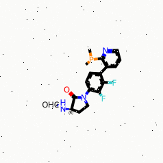 CP(C)c1ncccc1-c1ccc(N2CC[C@@H](NC=O)C2=O)c(F)c1F